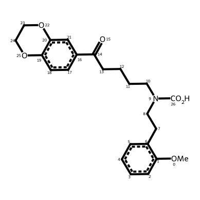 COc1ccccc1CCN(CCCCC(=O)c1ccc2c(c1)OCCO2)C(=O)O